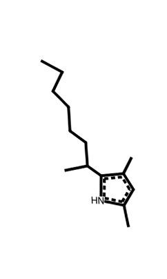 CCCCCCC(C)c1[nH]c(C)cc1C